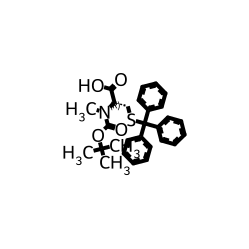 CN(C(=O)OC(C)(C)C)[C@@H](CSC(c1ccccc1)(c1ccccc1)c1ccccc1)C(=O)O